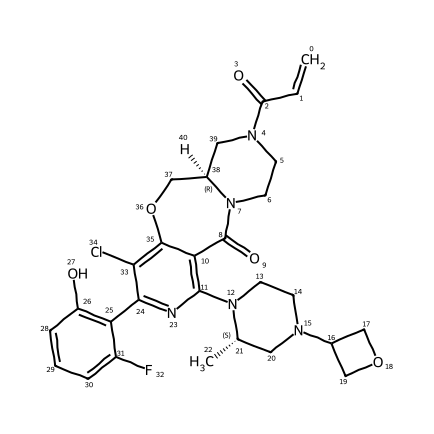 C=CC(=O)N1CCN2C(=O)c3c(N4CCN(C5COC5)C[C@@H]4C)nc(-c4c(O)cccc4F)c(Cl)c3OC[C@H]2C1